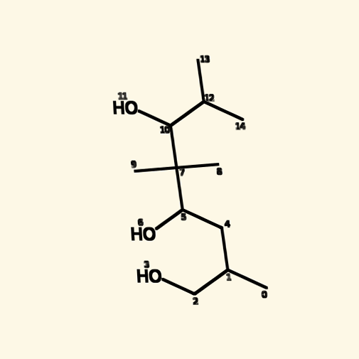 CC(CO)CC(O)C(C)(C)C(O)C(C)C